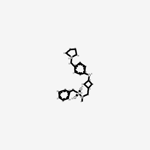 CN(CC1CC(Oc2ccc(CN3CCCC3)cc2)C1)S(=O)(=O)Cc1ccccc1